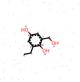 CCc1cc(O)cc(CO)c1O